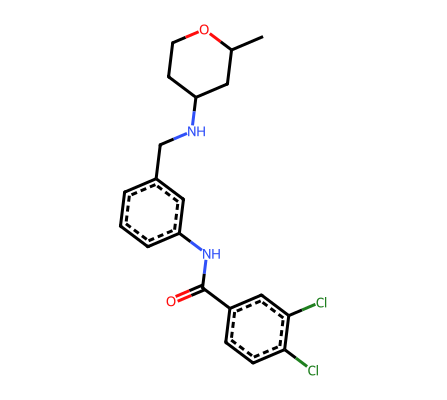 CC1CC(NCc2cccc(NC(=O)c3ccc(Cl)c(Cl)c3)c2)CCO1